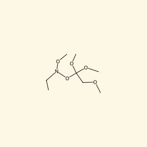 CCN(OC)OC(COC)(OC)OC